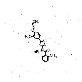 C=CCOc1ccc(-c2nnc(N(CCCC)C(=O)c3ccccc3C)s2)cc1C(F)(F)F